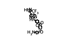 N[C@@H]1CC[C@H](C(=O)N2CCN(C(=O)c3ccc(Nc4nccn5c(-c6c[nH]nc6C(F)(F)F)cnc45)cc3Cl)CC2)C1